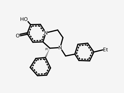 CCc1ccc(CN2CCn3cc(O)c(=O)cc3[C@H]2c2ccccc2)cc1